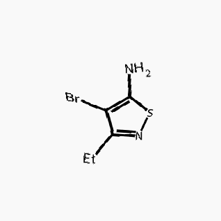 CCc1nsc(N)c1Br